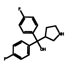 OC(c1ccc(F)cc1)(c1ccc(F)cc1)C1CCNC1